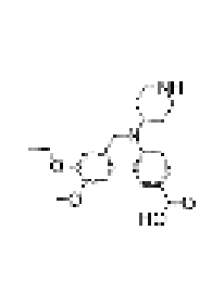 CCOc1cc(CN(c2ccc(C(=O)O)cc2)C2CCNCC2)ccc1OC